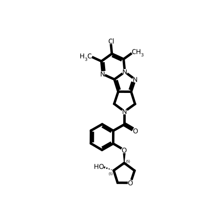 Cc1nc2c3c(nn2c(C)c1Cl)CN(C(=O)c1ccccc1O[C@H]1COC[C@@H]1O)C3